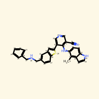 Cc1c(Nc2c(C#N)cncc2-c2cc3cc(CNCc4ccccc4)ccc3s2)ccc2[nH]ccc12